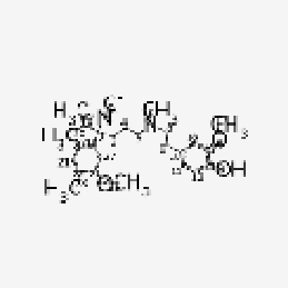 [C-]#[N+]C(CCCN(C)CCc1ccc(O)c(OC)c1)(c1ccc(C)c(OC)c1)C(C)C